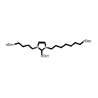 CCCCCCCCCCCCCCCCCN1C=CN(CCCCCCCCCCCCCC)C1CCCCCCCC